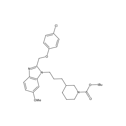 COc1ccc2nc(COc3ccc(Cl)cc3)n(CCCC3CCCN(C(=O)OC(C)(C)C)C3)c2c1